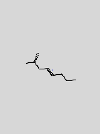 [CH2]C(=O)C/C=C/CCC